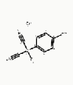 N#C[B-](F)(C#N)c1ccc(F)cc1.[Cs+]